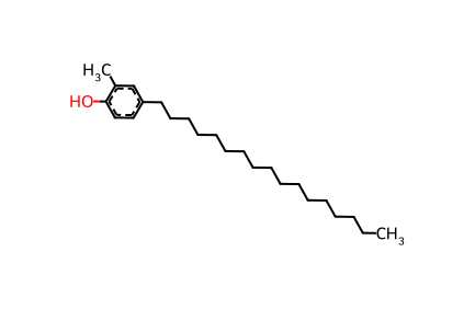 CCCCCCCCCCCCCCCCCc1ccc(O)c(C)c1